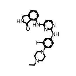 CCN1CCN(c2ccc(Nc3nccc(Nc4cccc5c4C(=O)NC5)n3)cc2F)CC1